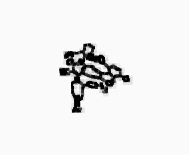 COc1ccc(Cl)c(F)c1-c1cc2c(cc1Cl)c(N1CCN(C(C)=O)C[C@@H]1C)c(C#N)c(=O)n2C1=CC=CCC1C(C)C